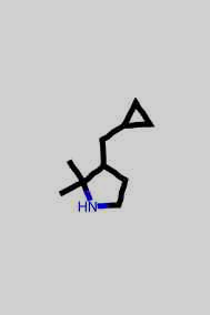 CC1(C)NCCC1CC1CC1